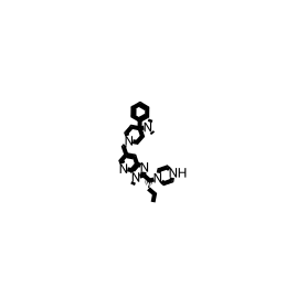 CCC[C@H](c1nc2cc(CN3CCC(c4ccccc4)(N(C)C)CC3)cnc2n1C)N1CCNCC1